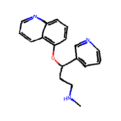 CNCCC(Oc1cccc2ncccc12)c1cccnc1